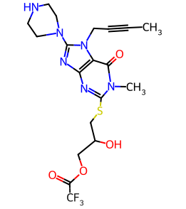 CC#CCn1c(N2CCNCC2)nc2nc(SCC(O)COC(=O)C(F)(F)F)n(C)c(=O)c21